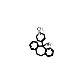 CCCC1(C2=CCN(C)CC2)c2ccccc2CCc2ccccc21